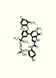 Cc1cc(F)cc(C)c1Oc1ccc(C(C)(C)OCOP(=O)(O)O)cc1-c1cn(C)c(=O)c2[nH]c(C(=O)Nc3ccc(C(C)C)cc3)cc12